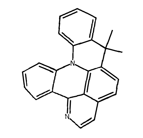 CC1(C)c2ccccc2N2c3ccccc3-c3nccc4ccc1c2c34